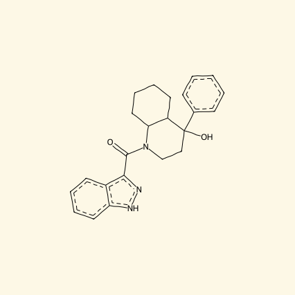 O=C(c1n[nH]c2ccccc12)N1CCC(O)(c2ccccc2)C2CCCCC21